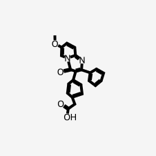 COc1ccc2nc(-c3ccccc3)c(-c3ccc(CC(=O)O)cc3)c(=O)n2c1